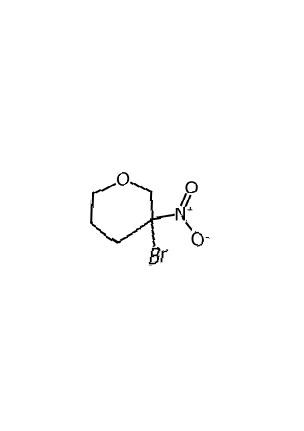 O=[N+]([O-])C1(Br)CCCOC1